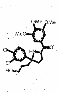 COc1cc(C(=O)C2CCC(CCCO)(c3ccc(Cl)c(Cl)c3)N2)cc(OC)c1OC